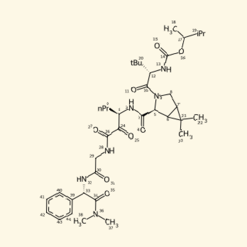 CCC[C@@H](NC(=O)[C@@H]1C2C(CN1C(=O)[C@@H](NC(=O)OC(C)C(C)C)C(C)(C)C)C2(C)C)C(=O)C(=O)NCC(=O)N[C@H](C(=O)N(C)C)c1ccccc1